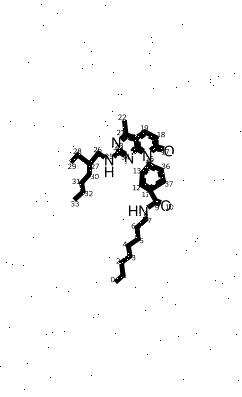 CCCCCCCCNC(=O)c1ccc(-n2c(=O)ccc3c(C)nc(NCC(CC)CCCC)nc32)cc1